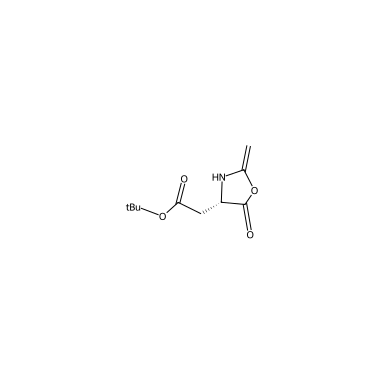 C=C1N[C@@H](CC(=O)OC(C)(C)C)C(=O)O1